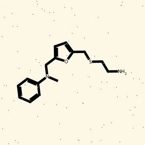 CN(Cc1ccc(CSCCN)o1)c1ccccc1